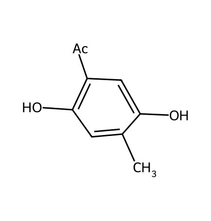 CC(=O)c1cc(O)c(C)cc1O